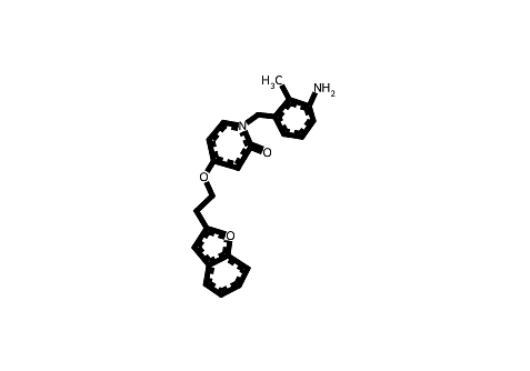 Cc1c(N)cccc1Cn1ccc(OCCc2cc3ccccc3o2)cc1=O